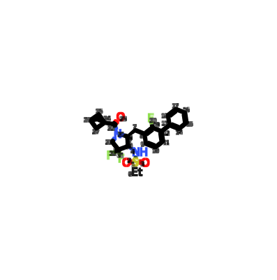 CCS(=O)(=O)N[C@@H]1[C@H](Cc2cccc(-c3ccccc3)c2F)N(C(=O)C23CC(C2)C3)CC1(F)F